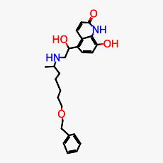 CC(CCCCCOCCc1ccccc1)NCC(O)c1ccc(O)c2[nH]c(=O)ccc12